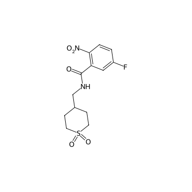 O=C(NCC1CCS(=O)(=O)CC1)c1cc(F)ccc1[N+](=O)[O-]